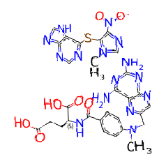 CN(Cc1cnc2nc(N)nc(N)c2n1)c1ccc(C(=O)N[C@@H](CCC(=O)O)C(=O)O)cc1.Cn1cnc([N+](=O)[O-])c1Sc1ncnc2nc[nH]c12